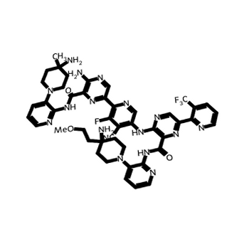 COCCC1(N)CCN(c2cccnc2NC(=O)c2nc(-c3ncccc3C(F)(F)F)cnc2Nc2cnc(-c3cnc(N)c(C(=O)Nc4ncccc4N4CCC(C)(N)CC4)n3)c(F)c2C#N)CC1